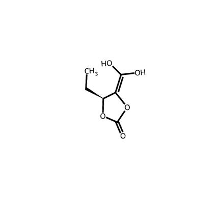 CC[C@@H]1OC(=O)OC1=C(O)O